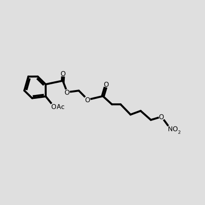 CC(=O)Oc1ccccc1C(=O)OCOC(=O)CCCCCO[N+](=O)[O-]